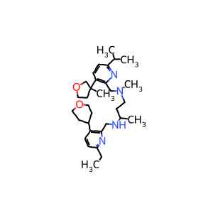 CCc1ccc(C2CCOCC2)c(CNC(C)CCN(C)Cc2nc(C(C)C)ccc2C2(C)CCOC2)n1